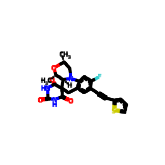 C[C@@H]1CN2c3cc(F)c(C#Cc4cccs4)cc3CC3(C(=O)NC(=O)NC3=O)[C@H]2[C@H](C)O1